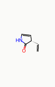 C=C[C@H]1C=CNC1=O